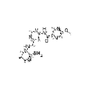 COc1cnc(C(=O)Nc2ccnc(CNc3cccnc3N)c2)cn1